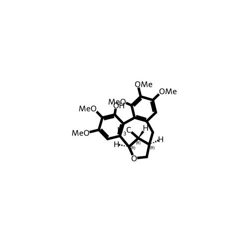 COc1cc2c(c(O)c1OC)-c1c(cc(OC)c(OC)c1OC)C[C@H]1CO[C@@H]2[C@@H]1C